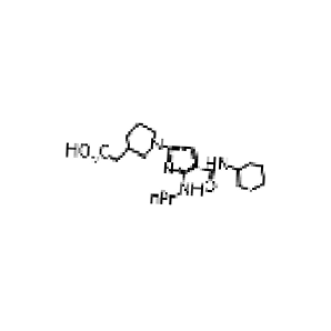 CCCNc1nc(N2CCCC(CC(=O)O)C2)ccc1C(=O)NC1CCCCC1